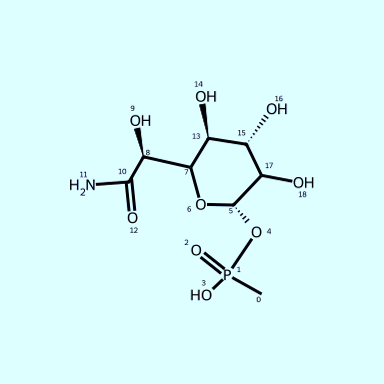 CP(=O)(O)O[C@@H]1OC([C@H](O)C(N)=O)[C@@H](O)[C@H](O)C1O